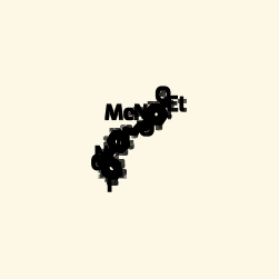 CCC(=O)c1ccc(OCCCN2CCC(c3noc4cc(F)ccc34)CC2)c(NC)c1